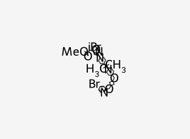 COC(=O)C(c1cc(N2CCC(C(C)(C)N3CCC(OC4CC(Oc5cc(Br)ccn5)C4)CC3)CC2)no1)C(C)C